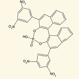 O=[N+]([O-])c1cc(-c2cc3ccccc3c3c2OP(=O)(O)Oc2c(-c4cc([N+](=O)[O-])cc([N+](=O)[O-])c4)cc4ccccc4c2-3)cc([N+](=O)[O-])c1